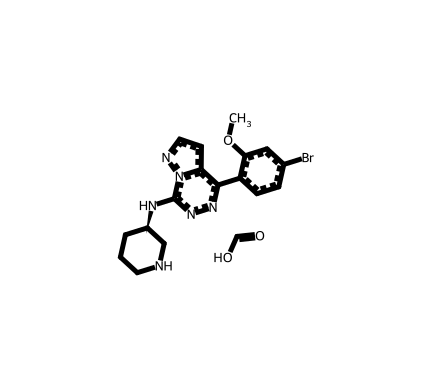 COc1cc(Br)ccc1-c1nnc(N[C@@H]2CCCNC2)n2nccc12.O=CO